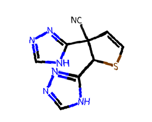 N#CC1(c2nnc[nH]2)C=CSC1c1nnc[nH]1